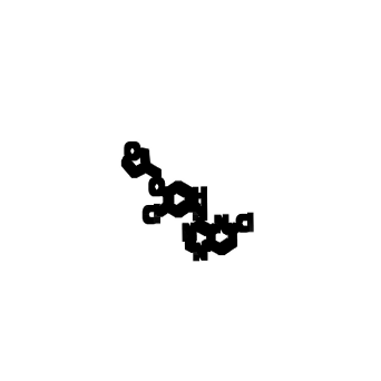 Clc1ccc2ncnc(Nc3ccc(OCC4CCOC4)c(Cl)c3)c2n1